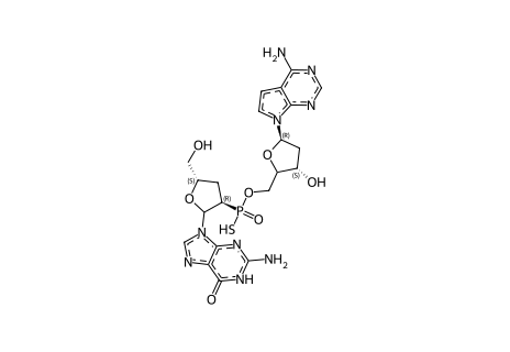 Nc1nc2c(ncn2C2O[C@H](CO)C[C@H]2P(=O)(S)OCC2O[C@@H](n3ccc4c(N)ncnc43)C[C@@H]2O)c(=O)[nH]1